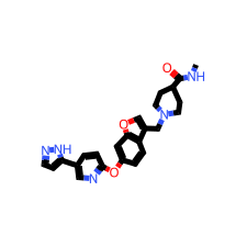 CNC(=O)C1CCN(Cc2coc3cc(Oc4ccc(-c5ccn[nH]5)cn4)ccc23)CC1